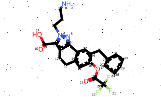 NCCCn1nc2c(c1C(=O)O)CCc1cc(OC(=O)C(F)(F)F)c(Cc3ccccc3)cc1-2